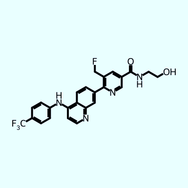 O=C(NCCO)c1cnc(-c2ccc3c(Nc4ccc(C(F)(F)F)cc4)ccnc3c2)c(CF)c1